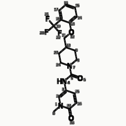 Cn1cc(NC(=O)N2CCC(COc3ccccc3C(F)(F)F)CC2)ccc1=O